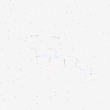 O=C(O)c1cc(F)cc(C2(n3c(=O)n(-c4ccc(N5CC(F)(F)C5)cc4)c4cc(Cl)ccc43)CC2)c1